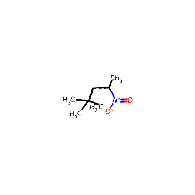 CC(CC(C)(C)C)[N+](=O)[O-]